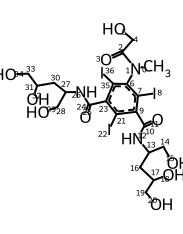 CN(C(=O)CO)c1c(I)c(C(=O)NC(CO)CC(O)CO)c(I)c(C(=O)NC(CO)CC(O)CO)c1I